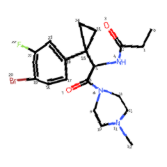 CCC(=O)NC(C(=O)N1CCN(C)CC1)C1(c2ccc(Br)c(F)c2)CC1